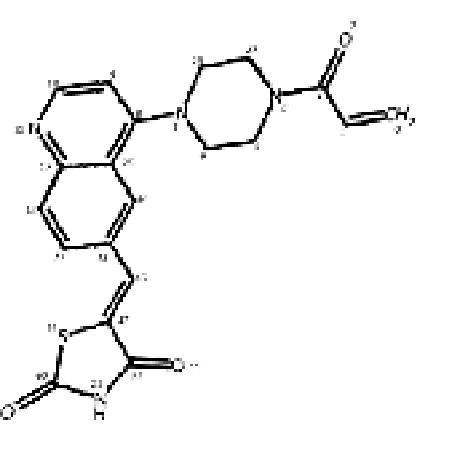 C=CC(=O)N1CCN(c2ccnc3ccc(/C=C4\SC(=O)NC4=O)cc23)CC1